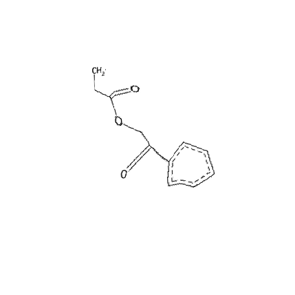 [CH2]CC(=O)OCC(=O)c1ccccc1